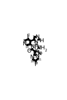 [2H]c1ncc(-c2c(F)cncc2NC(=O)c2c3ncc(F)cn3n[13c]2N)n1C